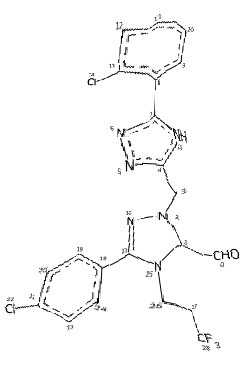 O=CC1N(Cc2nnc(-c3ccccc3Cl)[nH]2)N=C(c2ccc(Cl)cc2)N1CCC(F)(F)F